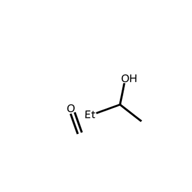 C=O.CCC(C)O